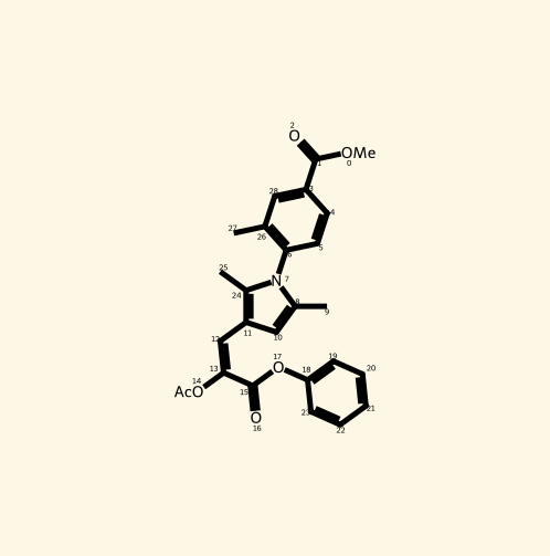 COC(=O)c1ccc(-n2c(C)cc(C=C(OC(C)=O)C(=O)Oc3ccccc3)c2C)c(C)c1